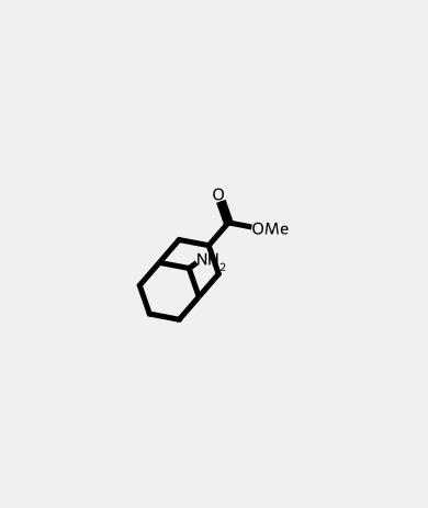 COC(=O)C1CC2CCCC(C1)C2N